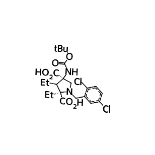 CCC1[C@](CC)(C(=O)O)N(Cc2cc(Cl)ccc2Cl)C[C@@]1(NC(=O)OC(C)(C)C)C(=O)O